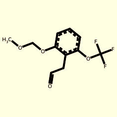 COCOc1cccc(OC(F)(F)F)c1CC=O